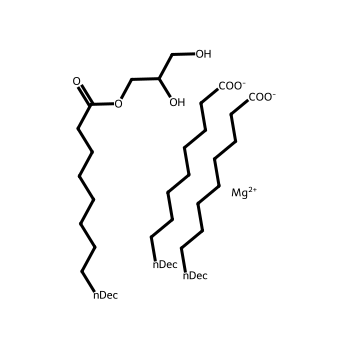 CCCCCCCCCCCCCCCCCC(=O)OCC(O)CO.CCCCCCCCCCCCCCCCCC(=O)[O-].CCCCCCCCCCCCCCCCCC(=O)[O-].[Mg+2]